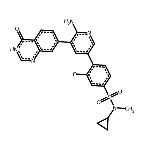 CN(C1CC1)S(=O)(=O)c1ccc(-c2cnc(N)c(-c3ccc4c(=O)[nH]cnc4c3)c2)c(F)c1